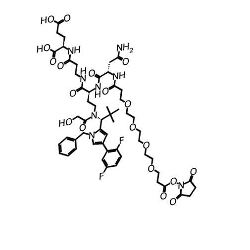 CC(C)(C)[C@H](c1cc(-c2cc(F)ccc2F)cn1Cc1ccccc1)N(CC[C@H](NC(=O)[C@H](CC(N)=O)NC(=O)CCOCCOCCOCCOCCC(=O)ON1C(=O)CCC1=O)C(=O)NCCC(=O)N[C@H](CCC(=O)O)C(=O)O)C(=O)CO